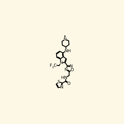 CN1CCC(Nc2cccc3c2cc(-c2noc(CNC(=O)c4nccs4)n2)n3CC(F)(F)F)CC1